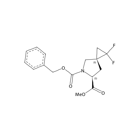 COC(=O)[C@@H]1C[C@@]2(CN1C(=O)OCc1ccccc1)CC2(F)F